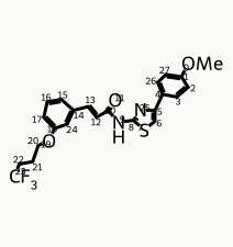 COc1ccc(-c2csc(NC(=O)/C=C/c3cccc(OCCCC(F)(F)F)c3)n2)cc1